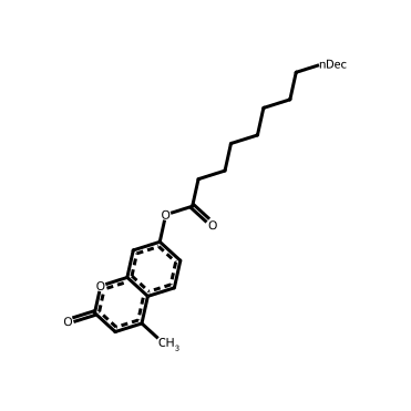 CCCCCCCCCCCCCCCCCC(=O)Oc1ccc2c(C)cc(=O)oc2c1